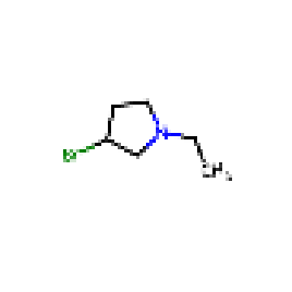 CCN1CCC(Br)C1